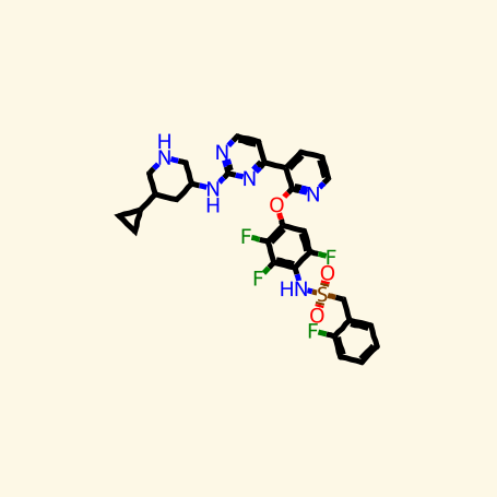 O=S(=O)(Cc1ccccc1F)Nc1c(F)cc(Oc2ncccc2-c2ccnc(NC3CNCC(C4CC4)C3)n2)c(F)c1F